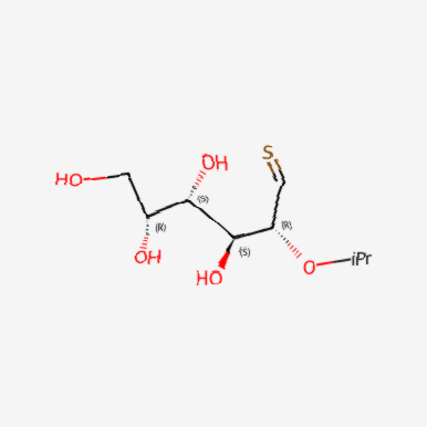 CC(C)O[C@@H](C=S)[C@@H](O)[C@@H](O)[C@H](O)CO